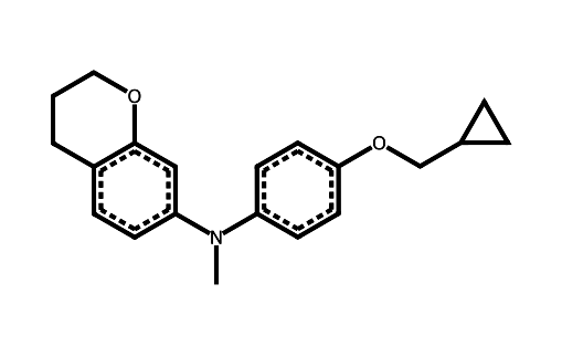 CN(c1ccc(OCC2CC2)cc1)c1ccc2c(c1)OCCC2